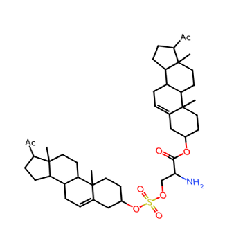 CC(=O)C1CCC2C3CC=C4CC(OC(=O)C(N)COS(=O)(=O)OC5CCC6(C)C(=CCC7C6CCC6(C)C(C(C)=O)CCC76)C5)CCC4(C)C3CCC12C